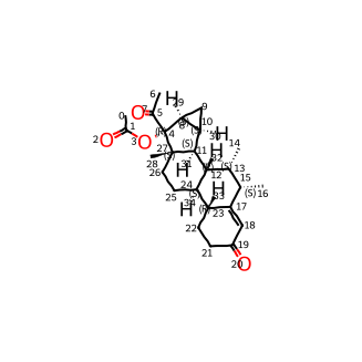 CC(=O)O[C@]1(C(C)=O)[C@H]2C[C@H]2[C@H]2[C@@H]3[C@H](C)[C@H](C)C4=CC(=O)CC[C@@H]4[C@H]3CC[C@@]21C